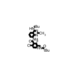 Cc1nc(NC(C)(C)C)c2cccc(NC(=O)c3c(Cl)ccc(CNC(=O)C(C)(C)C)c3F)c2n1